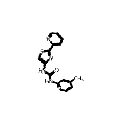 Cc1ccnc(NC(=O)Nc2csc(-c3ccccn3)n2)c1